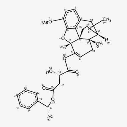 COc1ccc2c3c1O[C@H]1C(OC(=O)[C@@H](O)CC(=O)O[C@H](C(C)=O)c4ccccc4)=CC[C@@]4(O)[C@@H](C2)N(C)CC[C@]314